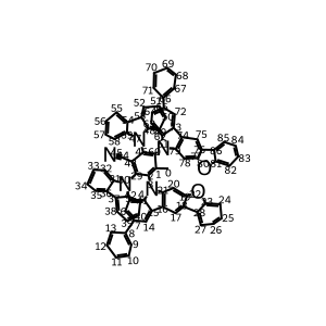 Cc1c(-n2c3ccc(-c4ccccc4)cc3c3cc4c(cc32)oc2ccccc24)c(-n2c3ccccc3c3ccccc32)c(C#N)c(-n2c3ccccc3c3ccccc32)c1-n1c2ccc(-c3ccccc3)cc2c2cc3c(cc21)oc1ccccc13